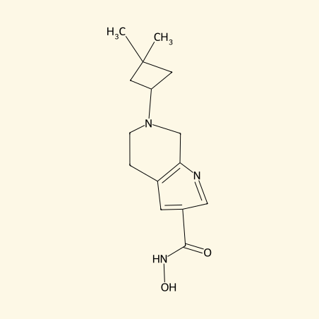 CC1(C)CC(N2CCc3cc(C(=O)NO)cnc3C2)C1